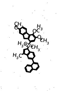 COc1ccc2c(c1)Cc1[c]([Zr]([CH3])([CH3])[CH]3C=C(C)c4cc(-c5cccc6ccccc56)ccc43)cc(OC)c(OC)c1-2